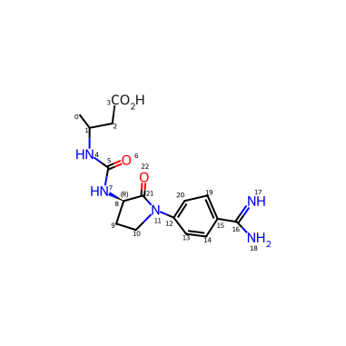 CC(CC(=O)O)NC(=O)N[C@@H]1CCN(c2ccc(C(=N)N)cc2)C1=O